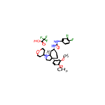 COc1ccc([C@@]23CC[C@@H](NC(=O)Nc4ccc(F)c(F)c4)C[C@@H]2N(C2CCOCC2)CC3)cc1OC.O=C(O)C(F)(F)F